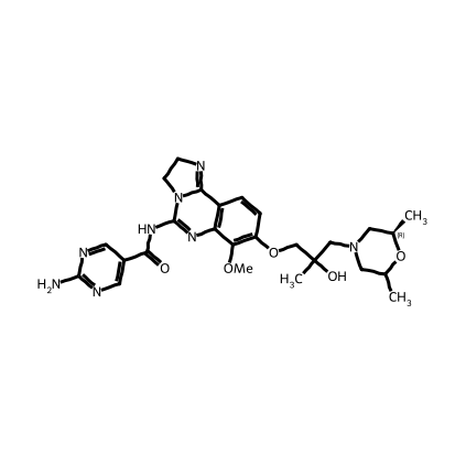 COc1c(OCC(C)(O)CN2CC(C)O[C@H](C)C2)ccc2c1N=C(NC(=O)c1cnc(N)nc1)N1CCN=C21